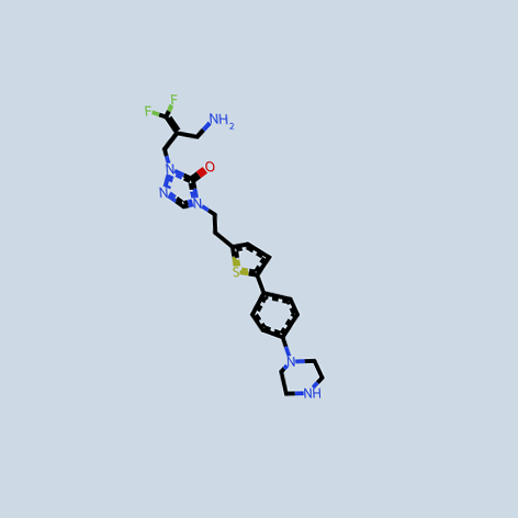 NCC(Cn1ncn(CCc2ccc(-c3ccc(N4CCNCC4)cc3)s2)c1=O)=C(F)F